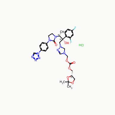 C[C@@H](N1CCN(c2ccc(-n3cnnn3)cc2)C1=O)[C@](O)(CN1CN(COC(=O)OC[C@@H]2COC(C)(C)O2)C=N1)c1ccc(F)cc1F.Cl